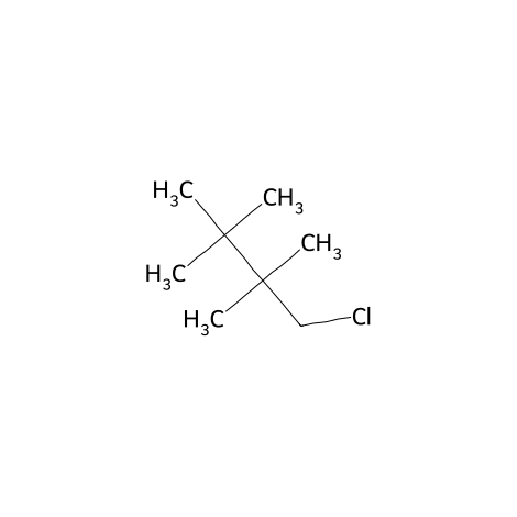 CC(C)(C)C(C)(C)CCl